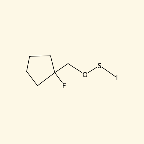 FC1(COSI)CCCC1